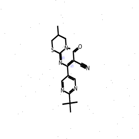 CC1CS/C(=N/C(=C(/C#N)C=O)c2cnc(C(C)(C)C)nc2)N(C)C1